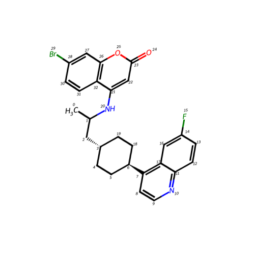 CC(C[C@H]1CC[C@H](c2ccnc3ccc(F)cc32)CC1)Nc1cc(=O)oc2cc(Br)ccc12